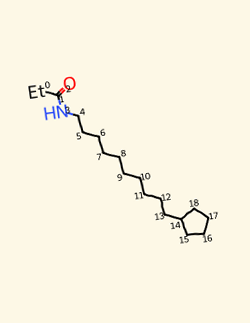 CCC(=O)NCCCCCCCCCCC1CCCC1